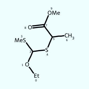 CCOC(SC)SC(C)C(=O)OC